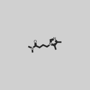 Cc1n[c]n(CCCC(=O)N(C)C)c1C